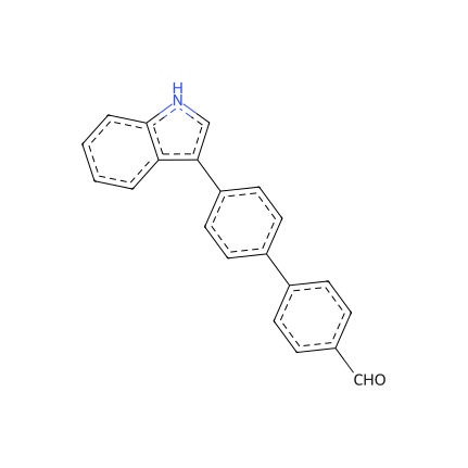 O=Cc1ccc(-c2ccc(-c3c[nH]c4ccccc34)cc2)cc1